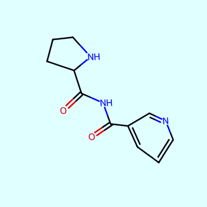 O=C(NC(=O)C1CCCN1)c1cccnc1